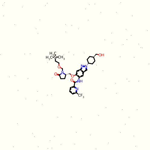 C[Si](C)(C)CCOCN1C(=O)CC[C@H]1COc1cc2nn([C@H]3CC[C@H](CO)CC3)cc2cc1NC(=O)c1cccc(C(F)(F)F)n1